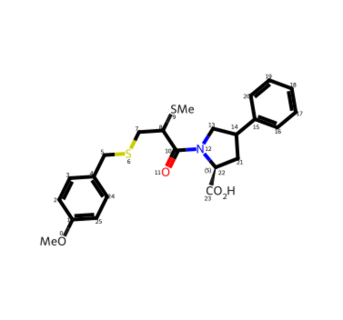 COc1ccc(CSCC(SC)C(=O)N2CC(c3ccccc3)C[C@H]2C(=O)O)cc1